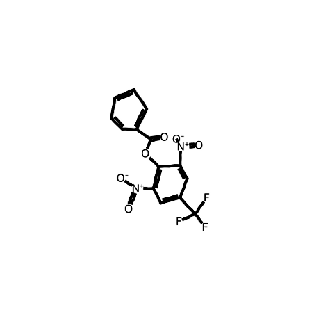 O=C(Oc1c([N+](=O)[O-])cc(C(F)(F)F)cc1[N+](=O)[O-])c1ccccc1